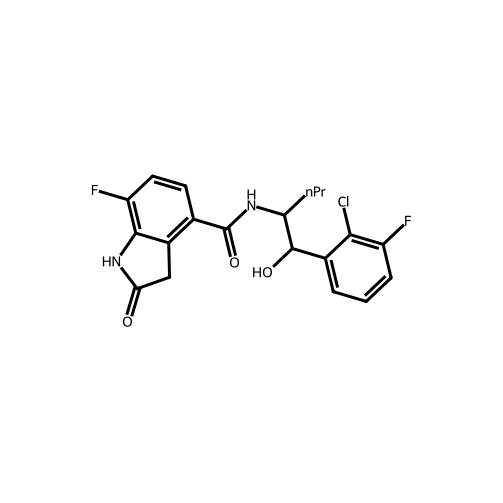 CCCC(NC(=O)c1ccc(F)c2c1CC(=O)N2)C(O)c1cccc(F)c1Cl